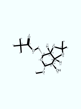 CO[C@@H]1O[C@H](COC(=O)C(C)(C)C)[C@@H]2OC(C)(C)O[C@@H]2[C@H]1O